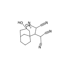 CC1(O)CC2CCCC(C(C(C#N)C#N)C(C#N)C#N)(C2)C1